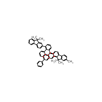 Cc1ccc2c(c1)C(C)(C)c1cc(N(c3ccc(-c4ccccc4)cc3)c3cccc(-c4ccc5c(c4)C(C)(C)c4ccccc4-5)c3-c3ccccc3-c3ccccc3)ccc1-2